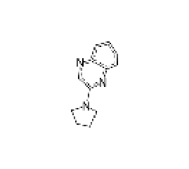 c1ccc2nc(N3CCCC3)cnc2c1